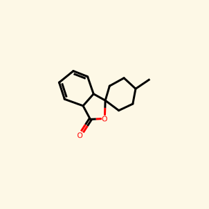 CC1CCC2(CC1)OC(=O)C1C=CC=CC12